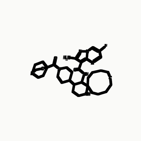 Nc1nn2cc(F)cnc2c1C(=O)NC1C(C2CCN(C(=O)C34CCN(CC3)CC4)CC2)CCNC12CCCCCCCCC2